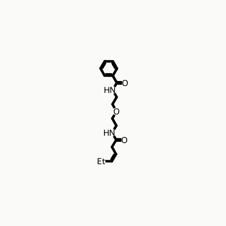 CC/C=C\CC(=O)NCCOCCNC(=O)c1ccccc1